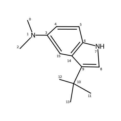 CN(C)c1ccc2[nH]cc(C(C)(C)C)c2c1